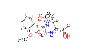 COc1ccccc1C(OC)(OC)C1CNC(C(=O)O)CN1